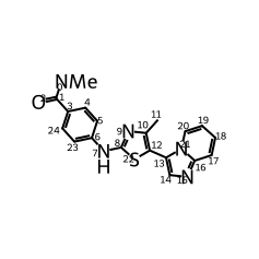 CNC(=O)c1ccc(Nc2nc(C)c(-c3cnc4ccccn34)s2)cc1